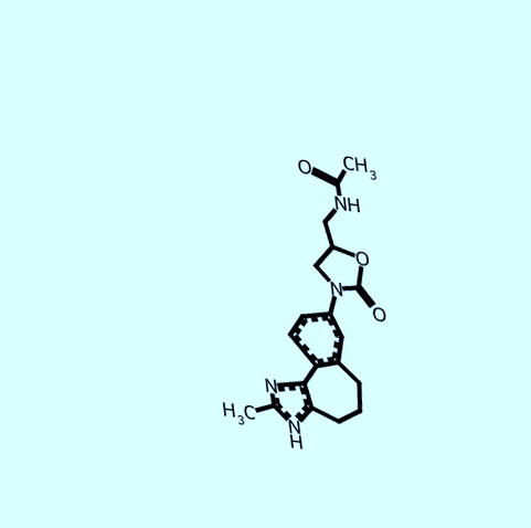 CC(=O)NCC1CN(c2ccc3c(c2)CCCc2[nH]c(C)nc2-3)C(=O)O1